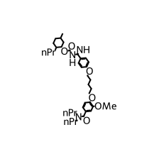 CCCC1CCC(C)CC1OC(=O)NC(=N)c1ccc(OCCCCCOc2ccc(C(=O)N(CCC)CCC)cc2OC)cc1